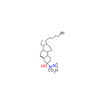 CC(C)CCC[C@@H](C)[C@H]1CCC2C3CC=C4CC(O)(N(C(=O)O)N5CC5)CC[C@]4(C)C3CC[C@@]21C